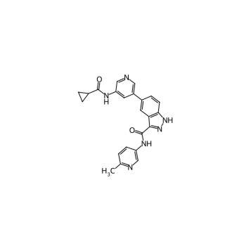 Cc1ccc(NC(=O)c2n[nH]c3ccc(-c4cncc(NC(=O)C5CC5)c4)cc23)cn1